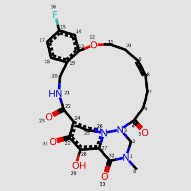 CN1CN2C(=O)CC/C=C\CCOc3cc(F)ccc3CNC(=O)c3cn2c(c(O)c3=O)C1=O